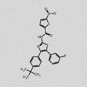 CC(C)(C)c1ccc(-c2nc(NC(=O)c3ccc([N+](=O)[O-])s3)sc2-c2cccc(F)c2)cc1